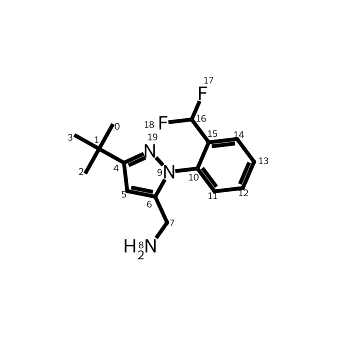 CC(C)(C)c1cc(CN)n(-c2ccccc2C(F)F)n1